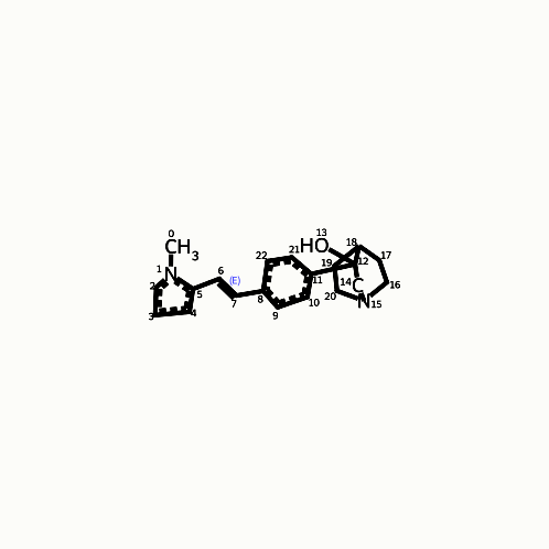 Cn1cccc1/C=C/c1ccc(C2(O)CN3CCC2CC3)cc1